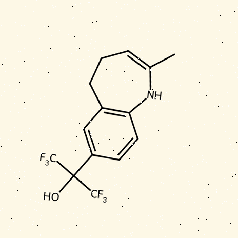 CC1=CCCc2cc(C(O)(C(F)(F)F)C(F)(F)F)ccc2N1